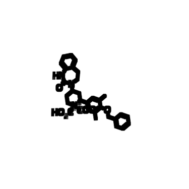 Cc1cc(C2CC(N3CCc4ccccc4NC3=O)CC[N@@+]2(C(=O)[O-])C(=O)O)cc(C)c1OCc1ccccc1